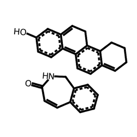 O=C1C=Cc2ccccc2CN1.Oc1ccc2c(c1)=CCc1c3c(ccc1=2)=CCCC3